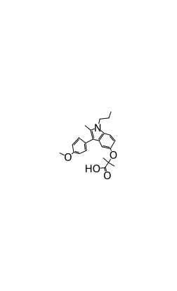 CCCn1c(C)c(-c2ccc(OC)cc2)c2cc(OC(C)(C)C(=O)O)ccc21